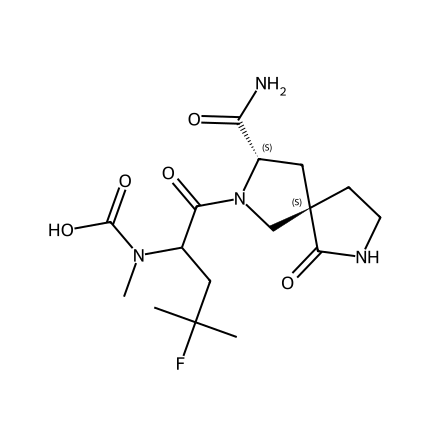 CN(C(=O)O)C(CC(C)(C)F)C(=O)N1C[C@]2(CCNC2=O)C[C@H]1C(N)=O